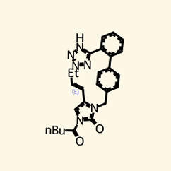 CC/C=C/c1cn(C(=O)CCCC)c(=O)n1Cc1ccc(-c2ccccc2-c2nnn[nH]2)cc1